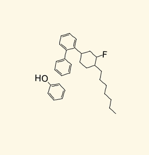 CCCCCCCC1CCC(c2ccccc2-c2ccccc2)CC1F.Oc1ccccc1